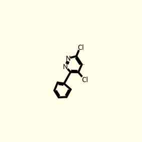 Clc1[c]c(Cl)c(-c2ccccc2)nn1